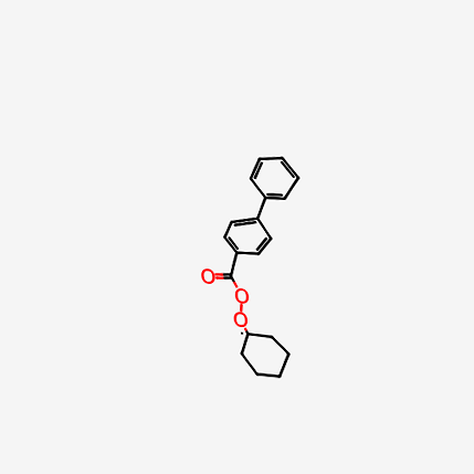 O=C(OO[C]1CCCCC1)c1ccc(-c2ccccc2)cc1